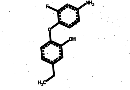 CCc1ccc(Oc2ccc(N)cc2F)c(O)c1